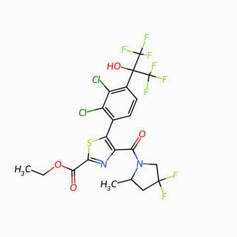 CCOC(=O)c1nc(C(=O)N2CC(F)(F)CC2C)c(-c2ccc(C(O)(C(F)(F)F)C(F)(F)F)c(Cl)c2Cl)s1